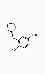 O=Cc1ccc(O)c(CN2CCCC2)c1